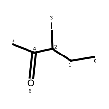 CCC(I)C(C)=O